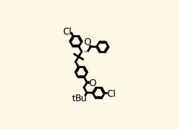 CC(C)(C)C(CC(=O)c1ccc(CC(C)(C)[C@@H](CC(=O)c2ccccc2)c2ccc(Cl)cc2)cc1)c1ccc(Cl)cc1